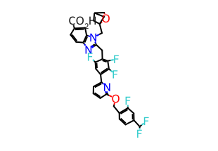 O=C(O)c1ccc2nc(Cc3c(F)cc(-c4cccc(OCc5ccc(C(F)F)cc5F)n4)c(F)c3F)n(CC34CC(CO3)C4)c2c1